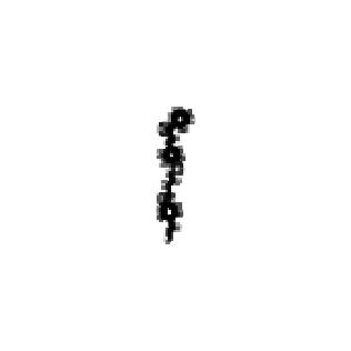 CC=Cc1ccc(OCCCCOc2ccc(/C=C/C(=O)c3ccccc3)cc2)cc1